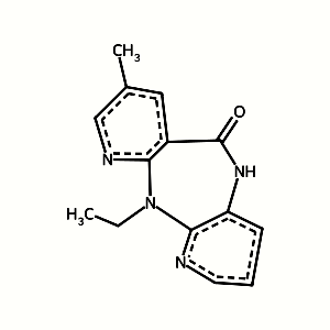 CCN1c2ncccc2NC(=O)c2cc(C)cnc21